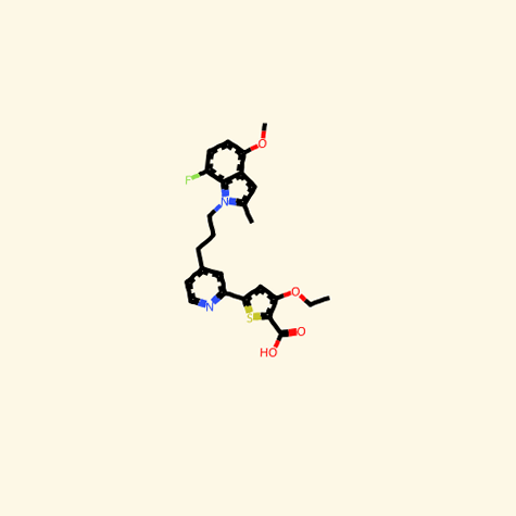 CCOc1cc(-c2cc(CCCn3c(C)cc4c(OC)ccc(F)c43)ccn2)sc1C(=O)O